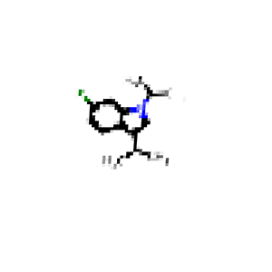 CC(C)c1cn(C(C)C)c2cc(F)ccc12